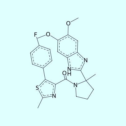 COc1cc2nc(C3(C)CCCN3C(=O)c3nc(C)sc3-c3ccc(F)cc3)[nH]c2cc1OC